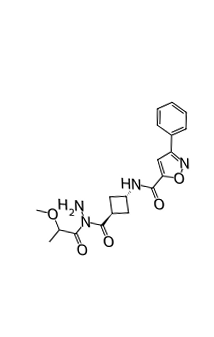 COC(C)C(=O)N(N)C(=O)[C@H]1C[C@H](NC(=O)c2cc(-c3ccccc3)no2)C1